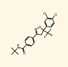 CC(C)(C)NC(=O)c1ccc(C2=NOC(c3ccc(Cl)c(Cl)c3)(C(F)(F)F)C2)cc1